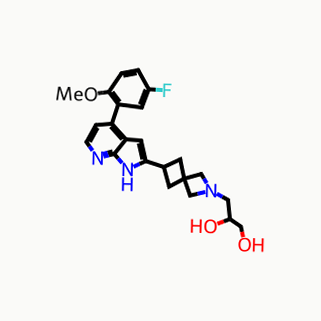 COc1ccc(F)cc1-c1ccnc2[nH]c(C3CC4(C3)CN(CC(O)CO)C4)cc12